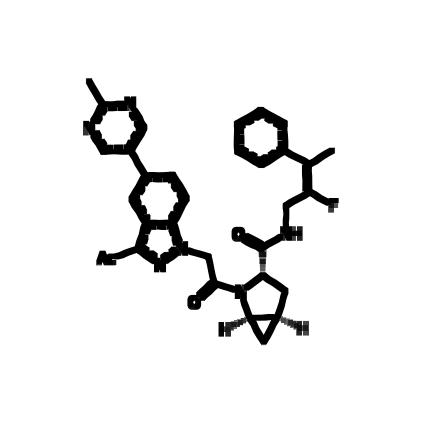 CC(=O)c1nn(CC(=O)N2[C@@H]3C[C@@H]3C[C@H]2C(=O)NC/C(F)=C(/C)c2ccccc2)c2ccc(-c3cnc(C)nc3)cc12